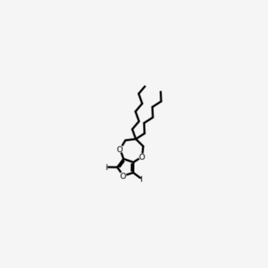 CCCCCCC1(CCCCCC)COc2c(I)oc(I)c2OC1